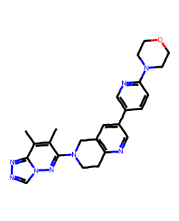 Cc1c(N2CCc3ncc(-c4ccc(N5CCOCC5)nc4)cc3C2)nn2cnnc2c1C